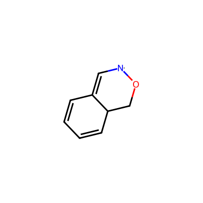 C1=CC2=C[N]OCC2C=C1